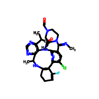 C/N=C(\c1cc(Cl)c2nc1N(C=O)c1c(C(C)C)ncnc1C(C)NC1=C2C(F)=CCC1)N1CCN(C=O)CC1C